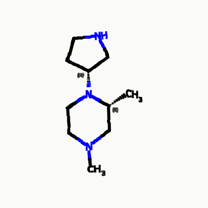 C[C@@H]1CN(C)CCN1[C@@H]1CCNC1